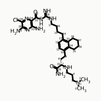 CN(C)CCCN[C@@H](CCc1ccc(CCCCNC(=N)NC(=O)c2nc(Cl)c(N)nc2N)c2c1CCCC2)C(N)=O